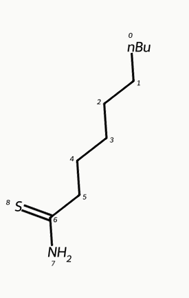 CCCCCCCCCC(N)=S